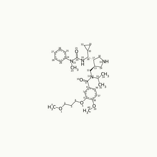 COCCCOc1cc(C(=O)N(C[C@@H]2CNC[C@H]2C(NC(=O)N(C)c2ccccc2)C2CC2)C(C)C)ccc1OC